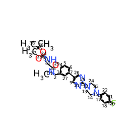 CN(Cc1cccc(-c2cnc(N3CCN(c4ccc(F)cc4)CC3)nc2)c1)C(=O)CNC(=O)OC(C)(C)C